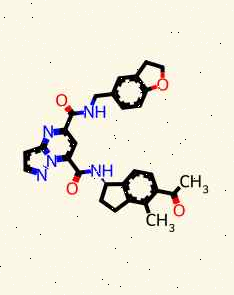 CC(=O)c1ccc2c(c1C)CC[C@@H]2NC(=O)c1cc(C(=O)NCc2ccc3c(c2)CCO3)nc2ccnn12